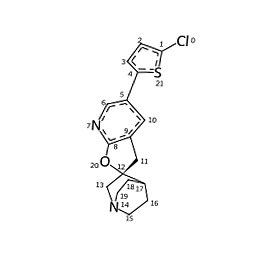 Clc1ccc(-c2cnc3c(c2)C[C@@]2(CN4CCC2CC4)O3)s1